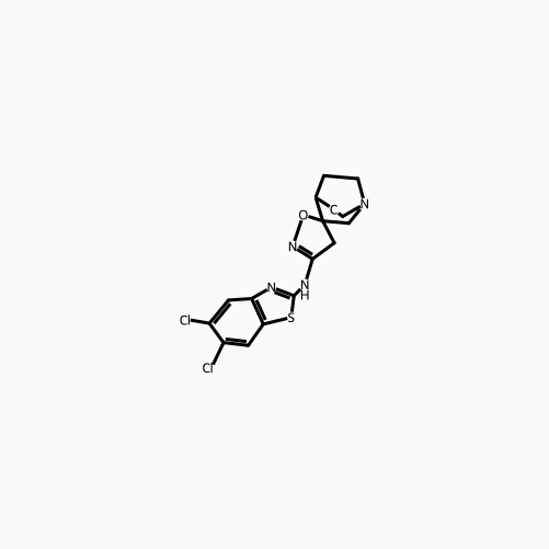 Clc1cc2nc(NC3=NOC4(C3)CN3CCC4CC3)sc2cc1Cl